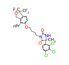 CCCc1c(OCCCCN2C(=O)NC(C)(c3ccc(Cl)c(Cl)c3Cl)C2=O)ccc2c1COC2(C(F)(F)F)C(F)(F)F